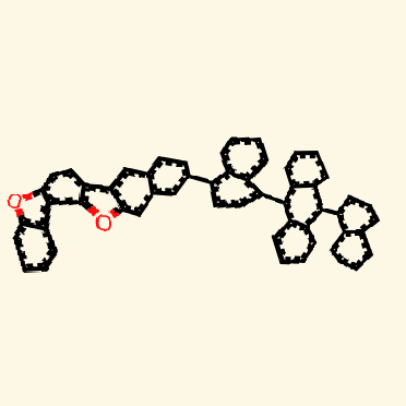 c1ccc2c(-c3c4ccccc4c(-c4ccc(-c5ccc6cc7c(cc6c5)oc5c7ccc6oc7ccccc7c65)c5ccccc45)c4ccccc34)cccc2c1